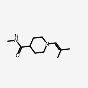 CNC(=O)C1CCN(C=C(C)C)CC1